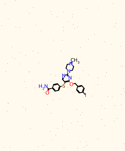 CN1CCN(c2ncc(Sc3ccc(C(N)=O)cc3)c(OCc3ccc(I)cc3)n2)CC1